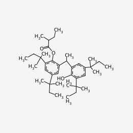 CCC(C)C(=O)Oc1c(C(C)c2cc(C(C)(C)CC)cc(C(C)(C)CC)c2O)cc(C(C)(C)CC)cc1C(C)(C)CC